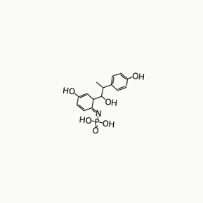 CC(c1ccc(O)cc1)C(O)C1C=C(O)C=CC1=NP(=O)(O)O